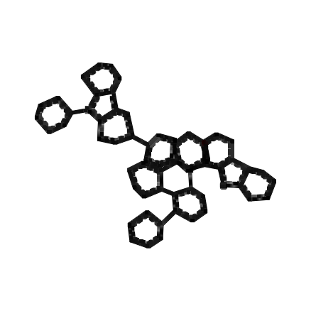 c1ccc(-c2ccccc2-c2c(-c3ccccc3)cccc2N(c2ccc(-c3ccc4c(c3)c3ccccc3n4-c3ccccc3)cc2)c2cccc3c2oc2ccccc23)cc1